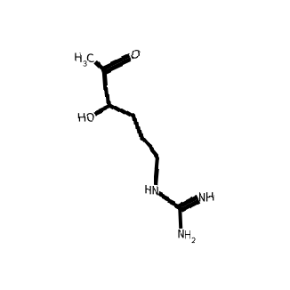 CC(=O)C(O)CCCNC(=N)N